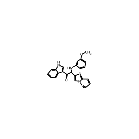 COc1cccc(NC(C(=O)c2c[nH]c3ccccc23)c2cn3ncccc3n2)c1